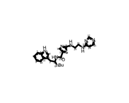 CCCCC(Cc1c[nH]c2ccccc12)NC(=O)c1cnc(NCCNc2ccncn2)s1